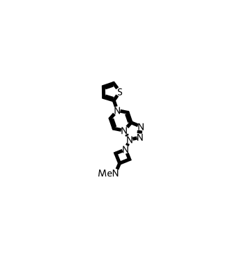 CNC1CN(N2N=NC3=CN(c4cccs4)C=CN32)C1